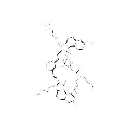 CCCCC[N+]1=C(/C=C/C2=C(Sc3nnnn3CC(=O)N(CCCC)CCCC)C(=C/C=C3/N(CCCCS(=O)(=O)O)c4ccc5cc(Br)ccc5c4C3(C)C)/CCC2)C(C)(C)c2c1ccc1cc(Br)ccc21